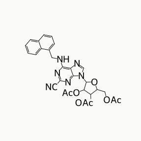 CC(=O)OCC1OC(n2cnc3c(NCc4cccc5ccccc45)nc(C#N)nc32)C(OC(C)=O)C1OC(C)=O